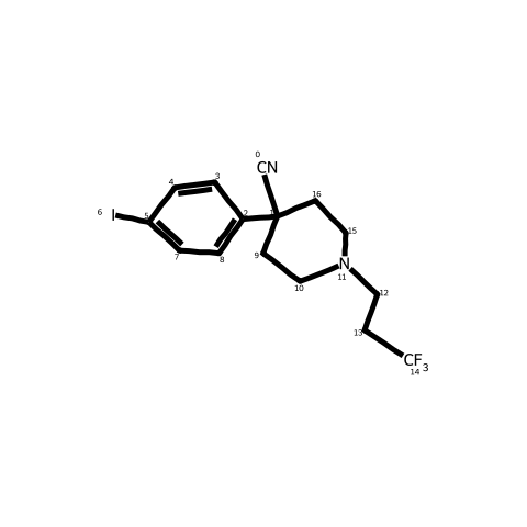 N#CC1(c2ccc(I)cc2)CCN(CCC(F)(F)F)CC1